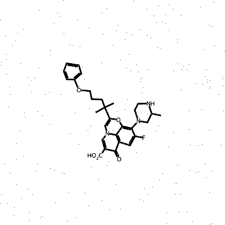 CC1CN(c2c(F)cc3c(=O)c(C(=O)O)cn4c3c2OC(C(C)(C)CCCOc2ccccc2)=C4)CCN1